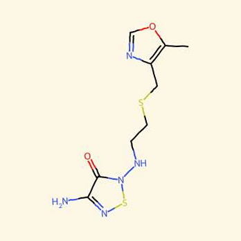 Cc1ocnc1CSCCNn1snc(N)c1=O